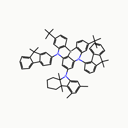 Cc1cc(C)c2c(c1)N(c1cc3c4c(c1)N(c1cccc5c1-c1ccccc1C5(C)C)c1cc(C(C)(C)C)ccc1B4c1ccc(C(C)(C)C)cc1N3c1ccc3c(c1)C(C)(C)c1ccccc1-3)C1(C)CCCCC21C